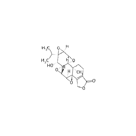 CC(C)[C@]12O[C@H]1[C@@H]1O[C@]13[C@]1(O[C@H]1[C@@H]1O[C@@]14C1=C(CC[C@]34C)C(=O)OC1)[C@@H]2O